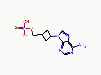 Nc1ncnc2c1ncn2C1CC(COP(O)(O)=S)C1